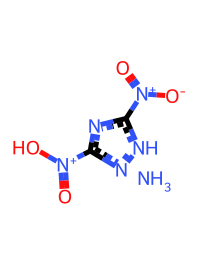 N.O=[N+]([O-])c1nc([N+](=O)O)n[nH]1